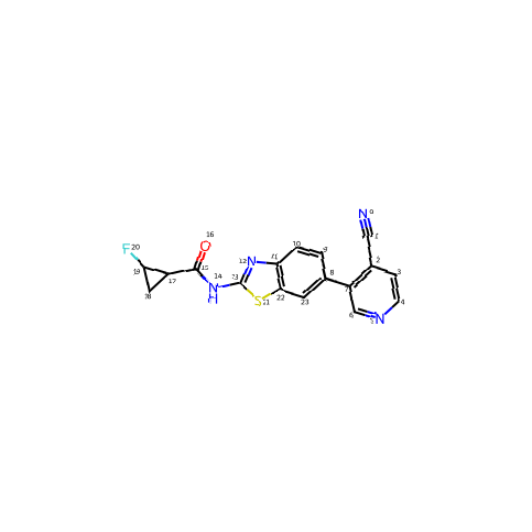 N#Cc1ccncc1-c1ccc2nc(NC(=O)C3CC3F)sc2c1